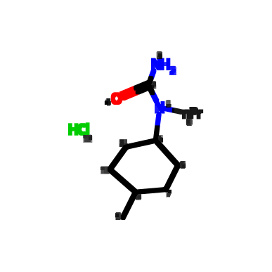 CCCN(C(N)=O)C1CCC(C)CC1.Cl